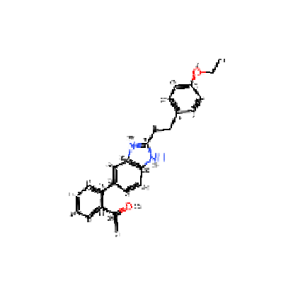 CCOc1ccc(CCc2nc3cc(-c4ccccc4C(C)=O)ccc3[nH]2)cc1